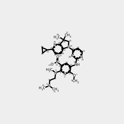 COc1nc(N(C)CCN(C)C)c([N+](=O)[O-])cc1Nc1nccc(N2CC(C)(C)c3nc(C4CC4)ccc32)n1